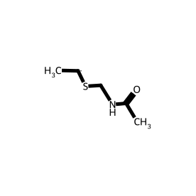 C[CH]SCNC(C)=O